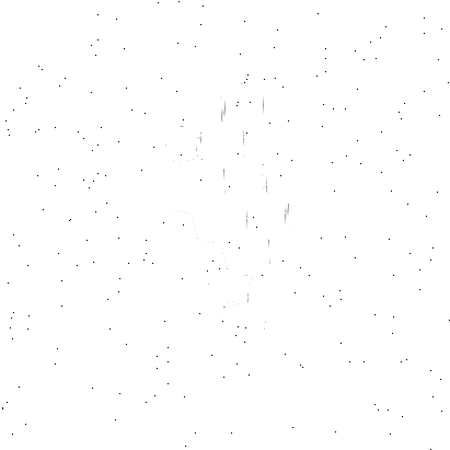 CCCCc1nc(Cl)c(COC)n1Cc1ccc2nc(-c3ccccc3-c3nnn[nH]3)ccc2c1